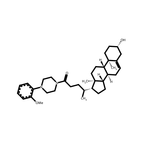 COc1ccccc1N1CCN(C(=O)CCC(C)[C@H]2CC[C@H]3[C@@H]4CC=C5C[C@@H](O)CC[C@]5(C)[C@H]4CC[C@]23C)CC1